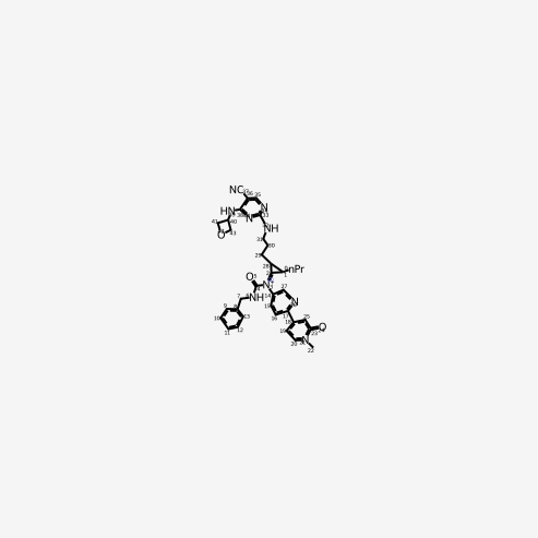 CCCC1/C(=[N+](/C(=O)NCc2ccccc2)c2ccc(-c3ccn(C)c(=O)c3)nc2)C1CCCNc1ncc(C#N)c(NC2COC2)n1